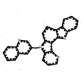 c1ccc2ncc(-n3c4cccnc4c4c5sc6ccccc6c5ccc43)cc2c1